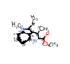 COC(=O)[C@H](N)[C@H](C)c1c(C)n(C)c2ccccc12